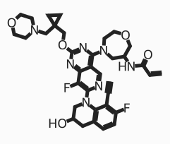 C#Cc1c(F)ccc2c1N(c1ncc3c(N4CCOCC(NC(=O)C=C)C4)nc(OCC4(CN5CCOCC5)CC4)nc3c1F)CC(O)C2